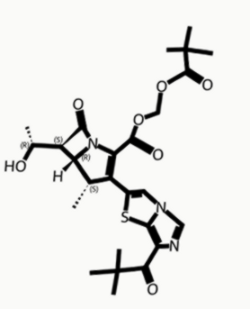 C[C@@H](O)[C@H]1C(=O)N2C(C(=O)OCOC(=O)C(C)(C)C)=C(c3cn4cnc(C(=O)C(C)(C)C)c4s3)[C@H](C)[C@H]12